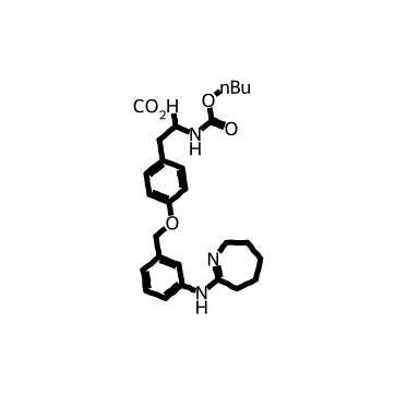 CCCCOC(=O)NC(Cc1ccc(OCc2cccc(NC3=NCCCCC3)c2)cc1)C(=O)O